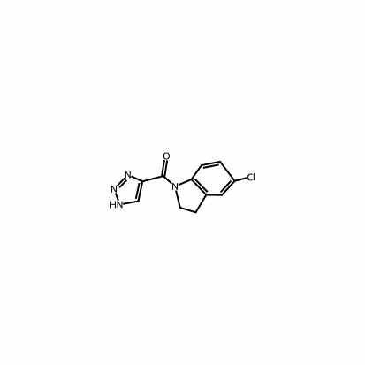 O=C(c1c[nH]nn1)N1CCc2cc(Cl)ccc21